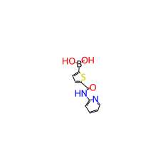 O=C(Nc1ccccn1)c1ccc(B(O)O)s1